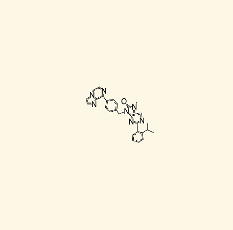 CC(C)c1ccccc1-c1ncc2c(n1)n(Cc1ccc(-c3nccn4ccnc34)cc1)c(=O)n2C